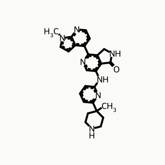 Cn1ccc2c(-c3ncc(Nc4cccc(C5(C)CCNCC5)n4)c4c3CNC4=O)ccnc21